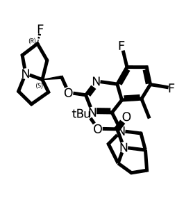 Cc1c(F)cc(F)c2nc(OC[C@@]34CCCN3C[C@H](F)C4)nc(N3CC4CCC(C3)N4C(=O)OC(C)(C)C)c12